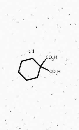 O=C(O)C1(C(=O)O)CCCCC1.[Cd]